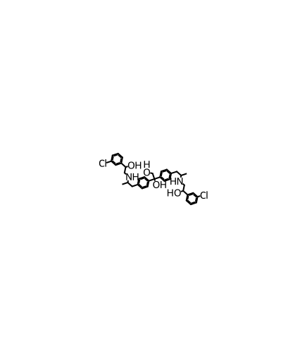 CC(Cc1ccc(C(O)(CO)c2ccc(CC(C)NCC(O)c3cccc(Cl)c3)cc2)cc1)NCC(O)c1cccc(Cl)c1